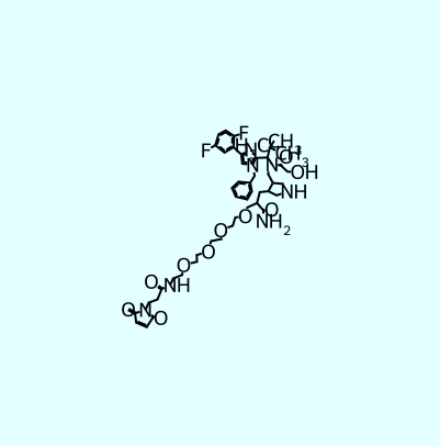 CC(C)(C)[C@H](c1nc(-c2cc(F)ccc2F)cn1Cc1ccccc1)N(CC1CNCC1CC(COCCOCCOCCOCCNC(=O)CCN1C(=O)C=CC1=O)C(N)=O)C(=O)CO